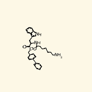 NCCCCCCC(=O)NC(Cc1c[nH]c2ccccc12)C(=O)OCc1ccc(-c2ccccc2)cc1